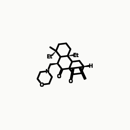 C=C1C(=O)C23CC[C@H]1CC2[C@]1(CC)CCC[C@@](C)(CC)C1[C@H](CN1CCOCC1)C3=O